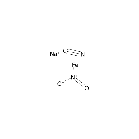 O=[N+]([O-])[Fe].[C-]#N.[Na+]